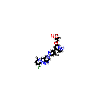 Cc1ccc(F)c(N[C@H]2[C@H](C)CN(c3ccc(-c4cc(OCC(C)(C)O)cn5ncc(C#N)c45)cn3)C[C@@H]2C)n1